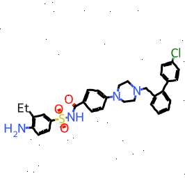 CCc1cc(S(=O)(=O)NC(=O)c2ccc(N3CCN(Cc4ccccc4-c4ccc(Cl)cc4)CC3)cc2)ccc1N